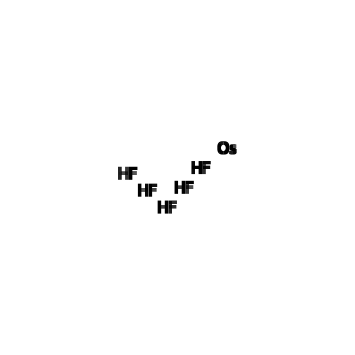 F.F.F.F.F.[Os]